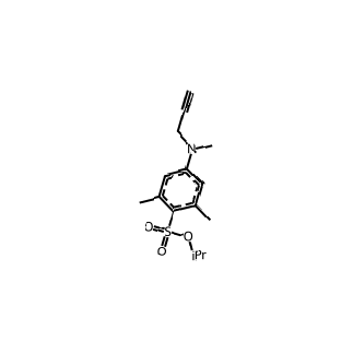 C#CCN(C)c1cc(C)c(S(=O)(=O)OC(C)C)c(C)c1